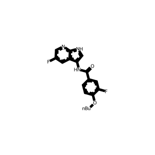 CCCCOc1ccc(C(=O)Nc2c[nH]c3ncc(F)cc23)cc1F